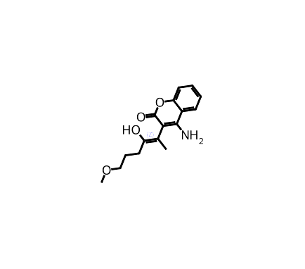 COCCC/C(O)=C(\C)c1c(N)c2ccccc2oc1=O